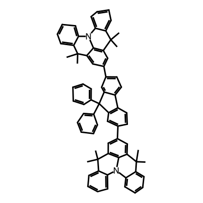 CC1(C)c2ccccc2N2c3ccccc3C(C)(C)c3cc(-c4ccc5c(c4)C(c4ccccc4)(c4ccccc4)c4cc(-c6cc7c8c(c6)C(C)(C)c6ccccc6N8c6ccccc6C7(C)C)ccc4-5)cc1c32